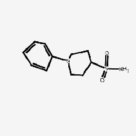 NS(=O)(=O)C1CCN(c2ccccc2)CC1